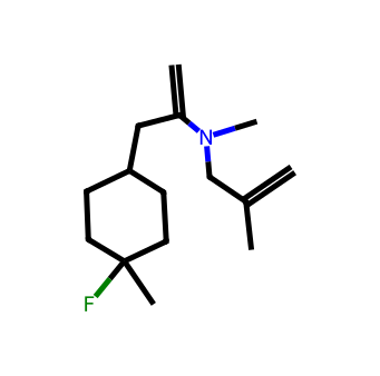 C=C(C)CN(C)C(=C)CC1CCC(C)(F)CC1